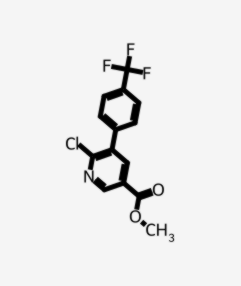 COC(=O)c1cnc(Cl)c(-c2ccc(C(F)(F)F)cc2)c1